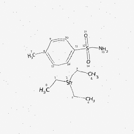 C[CH2][Sn]([CH2]C)[CH2]C.Cc1ccc(S(N)(=O)=O)cc1